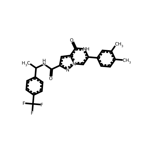 Cc1ccc(-c2cn3nc(C(=O)NC(C)c4ccc(C(F)(F)F)cc4)cc3c(=O)[nH]2)cc1C